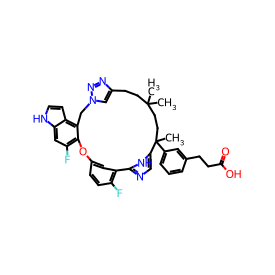 CC1(C)CCc2cn(nn2)Cc2c(c(F)cc3[nH]ccc23)Oc2ccc(F)c(c2)-c2ncc([nH]2)C(C)(c2cccc(CCC(=O)O)c2)CC1